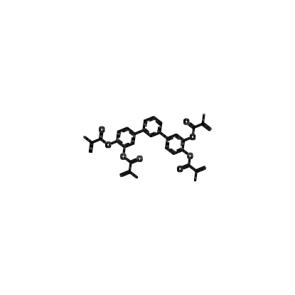 C=C(C)C(=O)Oc1ccc(-c2cccc(-c3ccc(OC(=O)C(=C)C)c(OC(=O)C(=C)C)c3)c2)cc1OC(=O)C(=C)C